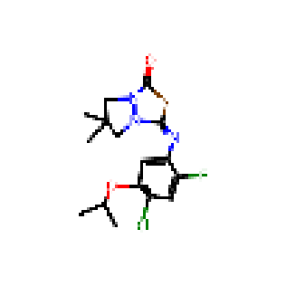 CC(C)Oc1cc(N=c2sc(=O)n3n2CC(C)(C)C3)c(F)cc1Cl